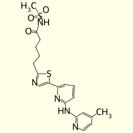 Cc1ccnc(Nc2cccc(-c3cnc(CCCCC(=O)NS(C)(=O)=O)s3)n2)c1